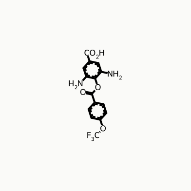 Nc1cc(C(=O)O)cc(N)c1OC(=O)c1ccc(OC(F)(F)F)cc1